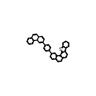 C1=CC2C=Cc3ccccc3C2C=C1c1ccc(-c2ccc3ccc4ccc5c6ccccc6sc5c4c3c2)cc1